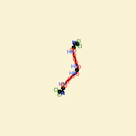 CN1Cc2c(Cl)cc(Cl)cc2C(c2ccc(S(=O)(=O)NCCOCCOCCOCCNC(=O)c3ccc(C(=O)NCCOCCOCCOCCNS(=O)(=O)c4ccc(C5CN(C)Cc6c(Cl)cc(Cl)cc65)cc4)cc3)cc2)C1